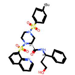 CC(C)(C)c1ccc(S(=O)(=O)N2CCN(S(=O)(=O)c3cccc4cccnc34)[C@@H](C(=O)N[C@H](CCO)c3ccccc3)C2)cc1